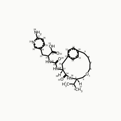 CC(C)[C@H]1COCCCCc2ccc(cc2)C[C@@H](NC(=O)NC(Cc2ccc(N)nc2)C(=O)O)C(=O)N1